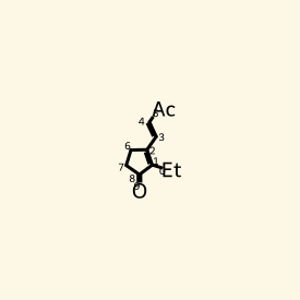 CCC1=C(/C=C/C(C)=O)CCC1=O